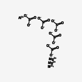 O=[Si]([O-])[O-].O=[Si]([O-])[O-].O=[Si]([O-])[O-].O=[Si]([O-])[O-].O=[Si]([O-])[O-].[Al+3].[Bi+3].[Mg+2].[Mg+2]